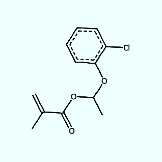 C=C(C)C(=O)OC(C)Oc1ccccc1Cl